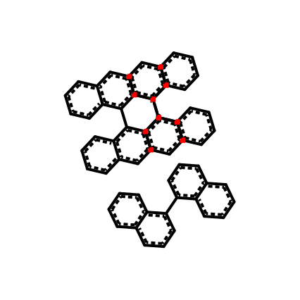 c1ccc(P(c2ccccc2)c2ccc3ccccc3c2-c2c(P(c3ccccc3)c3ccccc3)ccc3ccccc23)cc1.c1ccc2c(-c3cccc4ccccc34)cccc2c1